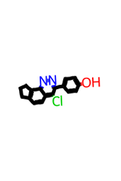 Oc1ccc(-c2nnc3c4c(ccc3c2Cl)CCC4)cc1